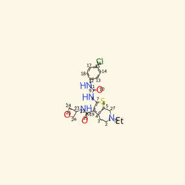 CCN1CCc2c(sc(NC(=O)Nc3ccc(Cl)cc3)c2C(=O)NC2COC2)C1